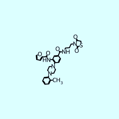 Cc1ccccc1N1CCN(c2ccc(C(=O)NCCCN3C(=O)CSC3=O)cc2NC(=O)c2ccco2)CC1